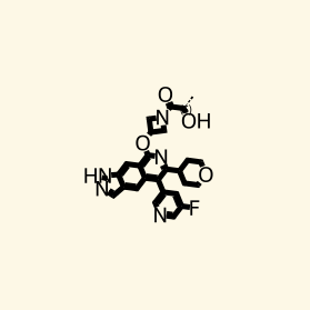 C[C@H](O)C(=O)N1CC(Oc2nc(C3CCOCC3)c(-c3cncc(F)c3)c3cc4cn[nH]c4cc23)C1